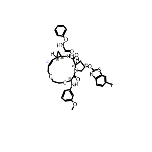 COc1cccc(N[C@H]2CCCCC/C=C\[C@@H]3C[C@@]3(C(=O)NOc3ccccc3)NC(=O)[C@@H]3C[C@@H](Oc4nc5ccc(F)cc5s4)CN3C2=O)c1